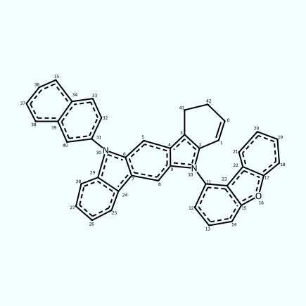 C1=Cc2c(c3cc4c(cc3n2-c2cccc3oc5ccccc5c23)c2ccccc2n4-c2ccc3ccccc3c2)CC1